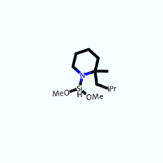 CO[SiH](OC)N1CCCCC1(C)CC(C)C